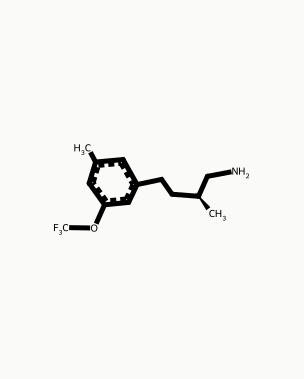 Cc1cc(CC[C@H](C)CN)cc(OC(F)(F)F)c1